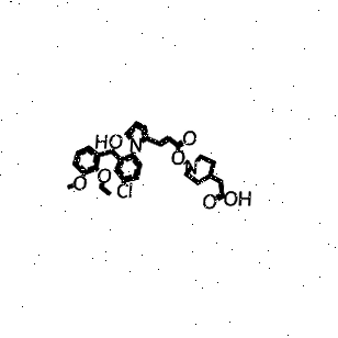 CCOc1c(OC)cccc1C(O)c1cc(Cl)ccc1-n1cccc1C=CC(=O)ON1CCC(CC(=O)O)CC1